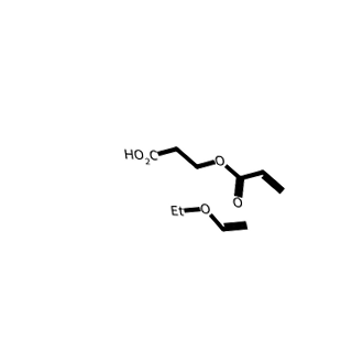 C=CC(=O)OCCC(=O)O.C=COCC